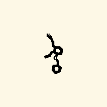 C=CCc1c(/C=C/C#N)cccc1OCc1ccccc1